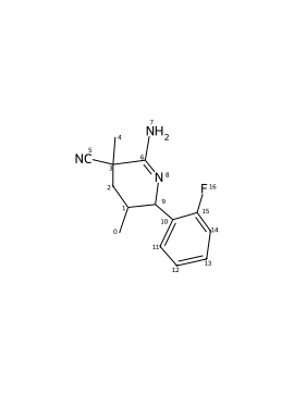 CC1CC(C)(C#N)C(N)=NC1c1ccccc1F